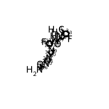 Cc1ccc(F)c2cc(C(=O)Nc3cc(F)cc(N4CC[C@@H](N5CCN(CC(N)=O)CC5)C4)c3)[nH]c12